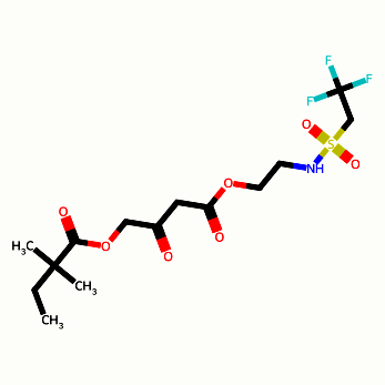 CCC(C)(C)C(=O)OCC(=O)CC(=O)OCCNS(=O)(=O)CC(F)(F)F